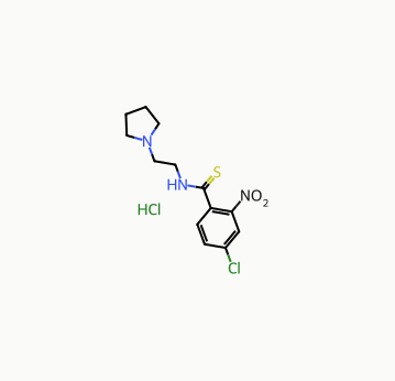 Cl.O=[N+]([O-])c1cc(Cl)ccc1C(=S)NCCN1CCCC1